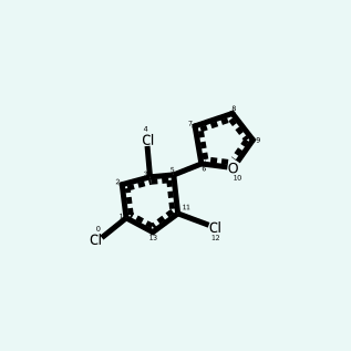 Clc1cc(Cl)c(-c2cc[c]o2)c(Cl)c1